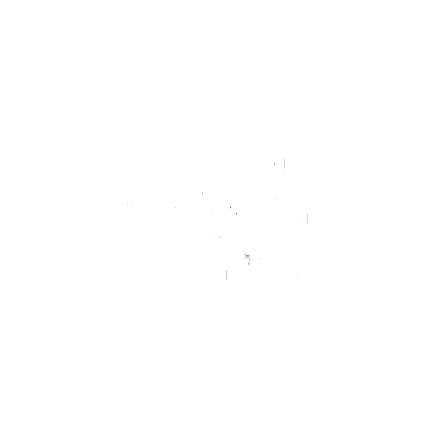 C/C=C(\C)C(O)(/C(C)=C/C)C(NS(=O)(=O)c1ccc(Br)s1)[C@@H](C)CC